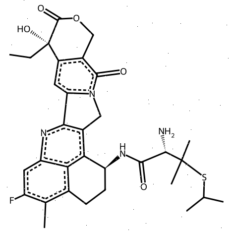 CC[C@@]1(O)C(=O)OCc2c1cc1n(c2=O)Cc2c-1nc1cc(F)c(C)c3c1c2[C@@H](NC(=O)[C@H](N)C(C)(C)SC(C)C)CC3